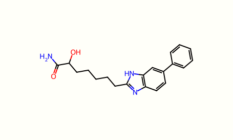 NC(=O)C(O)CCCCCc1nc2ccc(-c3ccccc3)cc2[nH]1